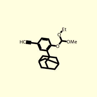 C#Cc1ccc(OC(OC)OCC)c(C23CC4CC(CC(C4)C2)C3)c1